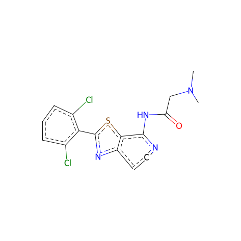 CN(C)CC(=O)Nc1nccc2nc(-c3c(Cl)cccc3Cl)sc12